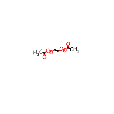 CC(=O)OOCCOOC(C)=O